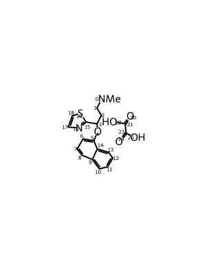 CNCCC(Oc1cccc2ccccc12)c1nccs1.O=C(O)C(=O)O